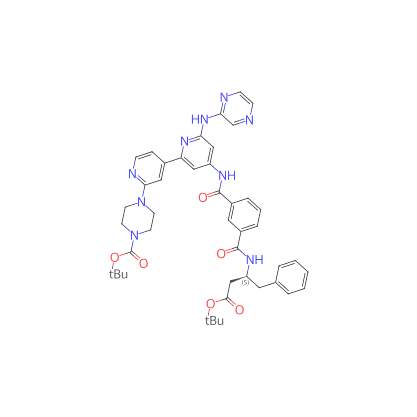 CC(C)(C)OC(=O)C[C@H](Cc1ccccc1)NC(=O)c1cccc(C(=O)Nc2cc(Nc3cnccn3)nc(-c3ccnc(N4CCN(C(=O)OC(C)(C)C)CC4)c3)c2)c1